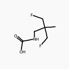 CC(CF)(CF)CNC(=O)O